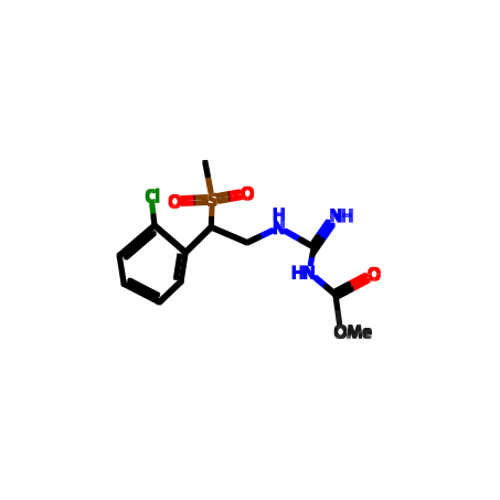 COC(=O)NC(=N)NCC(c1ccccc1Cl)S(C)(=O)=O